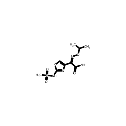 CC(C)ON=C(C([NH])=O)c1csc(NS(C)(=O)=O)n1